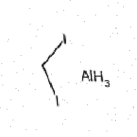 ICI.[AlH3]